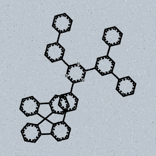 c1ccc(-c2cccc(-c3nc(-c4ccc(-c5cccc6c5C5(c7ccccc7-c7ccccc75)c5ccccc5-6)cc4)nc(-c4cc(-c5ccccc5)cc(-c5ccccc5)c4)n3)c2)cc1